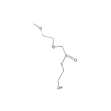 COCCOCC(=O)SCCO